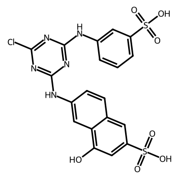 O=S(=O)(O)c1cccc(Nc2nc(Cl)nc(Nc3ccc4cc(S(=O)(=O)O)cc(O)c4c3)n2)c1